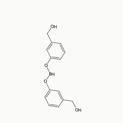 OCc1cccc(OBOc2cccc(CO)c2)c1